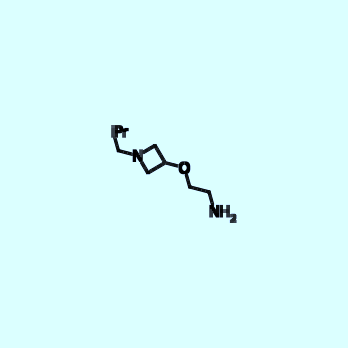 CC(C)CN1CC(OCCN)C1